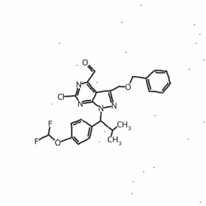 CC(C)C(c1ccc(OC(F)F)cc1)n1nc(COCc2ccccc2)c2c(C=O)nc(Cl)nc21